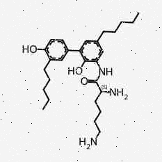 CCCCCc1cc(NC(=O)[C@@H](N)CCCCN)c(O)c(-c2ccc(O)c(CCCCC)c2)c1